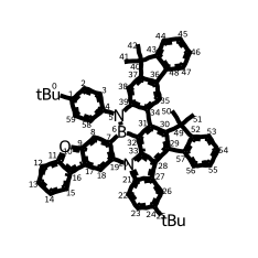 CC(C)(C)c1ccc(N2B3c4cc5oc6ccccc6c5cc4-n4c5ccc(C(C)(C)C)cc5c5c6c(c(c3c54)-c3cc4c(cc32)C(C)(C)c2ccccc2-4)C(C)(C)c2ccccc2-6)cc1